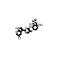 CS(=O)(=O)C[C@]1(O)CCC[C@H](Nc2nc(-c3c[nH]c4ncc(Cl)cc34)ncc2F)C1